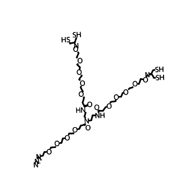 [N-]=[N+]=NCCOCCOCCOCCOCCC(=O)N(CCNC(=O)CCOCCOCCOCCOCCON=C(CS)CS)CCNC(=O)CCOCCOCCOCCOCCON=C(CS)CS